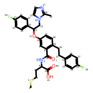 CSCCC(NC(=O)c1cc(OC(Cn2ccnc2C)c2ccc(F)cc2)ccc1CCc1ccc(F)cc1)C(=O)O